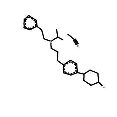 CC#N.CC(C)N(CCCc1ccc(C2CCC(Cl)CC2)cc1)CCc1ccccc1